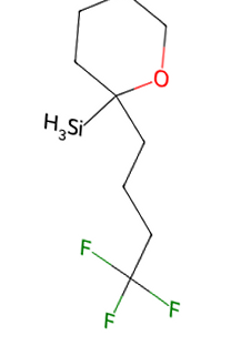 FC(F)(F)CCCC1([SiH3])CCCCO1